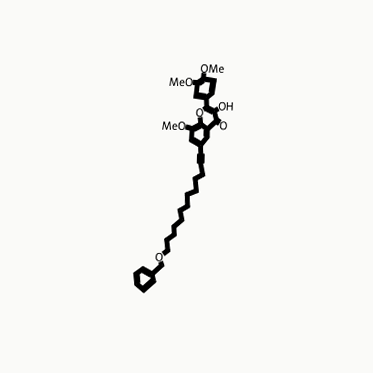 COc1ccc(-c2oc3c(OC)cc(C#CCCCCCCCCCCCOCc4ccccc4)cc3c(=O)c2O)cc1OC